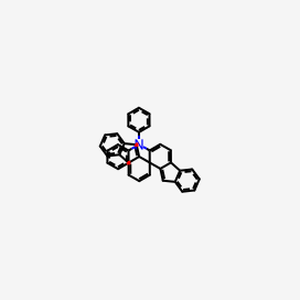 C1=CC2(C3=Cc4ccccc4C3=C1)C1=Cc3ccccc3C1=CC=C2N(c1ccccc1)c1ccccc1